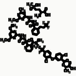 COc1cc(OC)nc(NC(=O)NS(=O)(=O)c2ncccc2C(=O)N(C)C)n1.COc1nc(C)nc(NC(=O)NS(=O)(=O)c2ccccc2CCC(F)(F)F)n1.CP(=O)(O)CCC(N)C(=O)O.C[C@H](OC(=O)c1cc(Oc2ccc(C(F)(F)F)cc2Cl)ccc1Cl)C(=O)O